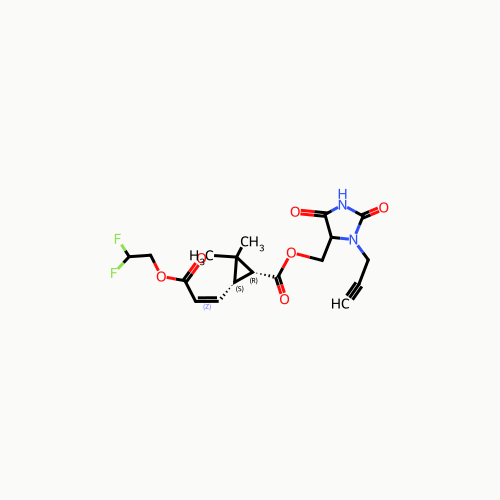 C#CCN1C(=O)NC(=O)C1COC(=O)[C@@H]1[C@H](/C=C\C(=O)OCC(F)F)C1(C)C